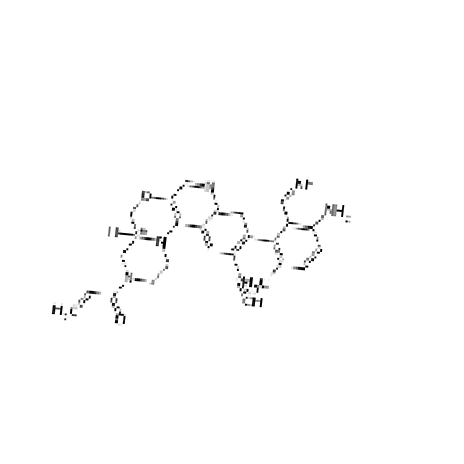 C#Cc1cc2c3c(cnc2cc1-c1c(C)ccc(N)c1C=N)OC[C@H]1CN(C(=O)C=C)CCN31